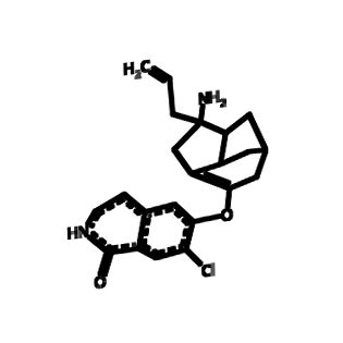 C=CCC1(N)CC2=C(Oc3cc4cc[nH]c(=O)c4cc3Cl)CC3CC2C1C3